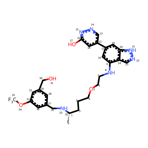 C[C@@H](CCCOCCNc1cc(-c2cnnc(O)c2)cc2[nH]ncc12)NCc1cc(CO)cc(OC(F)(F)F)c1